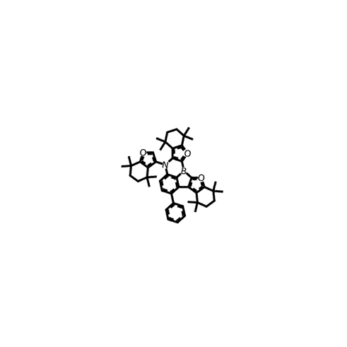 CC1(C)CCC(C)(C)c2c(N3c4ccc(-c5ccccc5)c5c4B(c4oc6c(c4-5)C(C)(C)CCC6(C)C)c4oc5c(c43)C(C)(C)CCC5(C)C)coc21